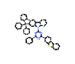 c1ccc(-c2nc(-c3ccc4c(c3)sc3ccccc34)nc(-n3c4ccccc4c4cc5c(cc43)C(c3ccccc3)(c3ccccc3)c3ccccc3-5)n2)cc1